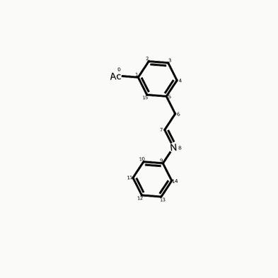 CC(=O)c1cccc(CC=Nc2ccccc2)c1